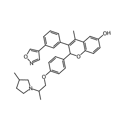 CC1=C(c2cccc(-c3cnoc3)c2)C(c2ccc(OCC(C)N3CCC(C)C3)cc2)Oc2ccc(O)cc21